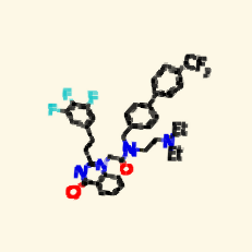 CCN(CC)CCN(Cc1ccc(-c2ccc(C(F)(F)F)cc2)cc1)C(=O)Cn1c(CCc2cc(F)c(F)c(F)c2)nc(=O)c2ccccc21